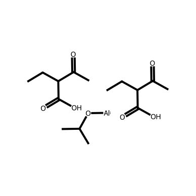 CC(C)[O][Al].CCC(C(C)=O)C(=O)O.CCC(C(C)=O)C(=O)O